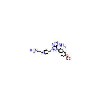 CCOc1ccc2cc(-c3nn(CCC4CCN(CCCN)CC4)c4ncnc(N)c34)ccc2c1